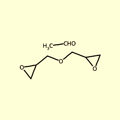 C(OCC1CO1)C1CO1.CC=O